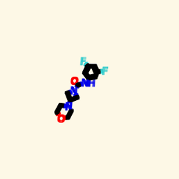 O=C(Nc1cc(F)cc(F)c1)N1CC(N2CCOCC2)C1